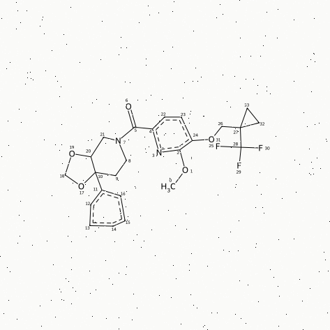 COc1nc(C(=O)N2CCC3(c4ccccc4)OCOC3C2)ccc1OCC1(C(F)(F)F)CC1